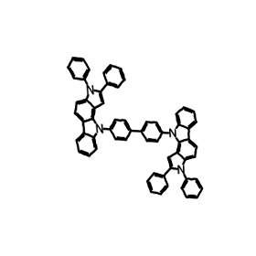 c1ccc(-c2cc3c(ccc4c5ccccc5n(-c5ccc(-c6ccc(-n7c8ccccc8c8ccc9c(cc(-c%10ccccc%10)n9-c9ccccc9)c87)cc6)cc5)c43)n2-c2ccccc2)cc1